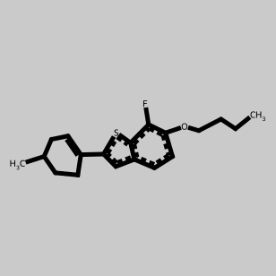 CCCCOc1ccc2cc(C3=CCC(C)CC3)sc2c1F